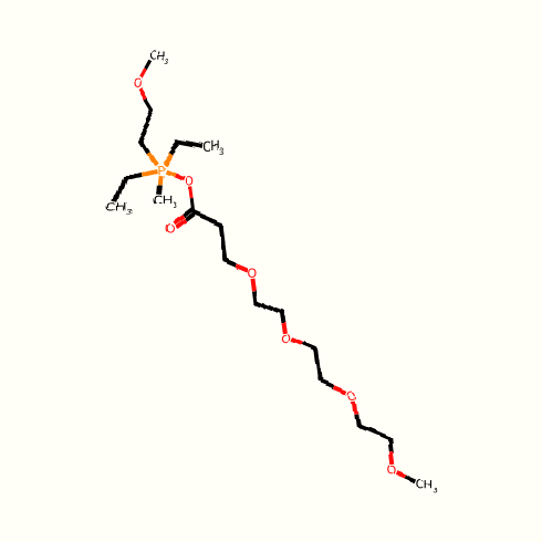 CCP(C)(CC)(CCOC)OC(=O)CCOCCOCCOCCOC